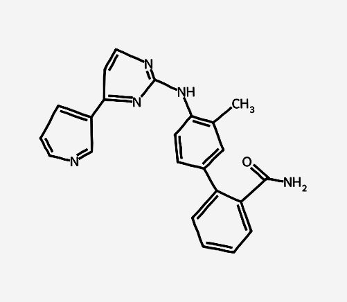 Cc1cc(-c2ccccc2C(N)=O)ccc1Nc1nccc(-c2cccnc2)n1